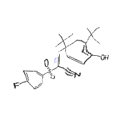 CC(C)(C)C1=C(O)C=CC(/C=C(\C#N)S(=O)(=O)c2ccc(F)cc2)(C(C)(C)C)C1